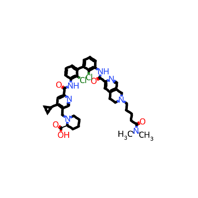 CN(C)C(=O)CCCCN1CCc2cc(C(=O)Nc3cccc(-c4cccc(NC(=O)c5cc(C6CC6)c(CN6CCCC[C@H]6C(=O)O)cn5)c4Cl)c3Cl)ncc2C1